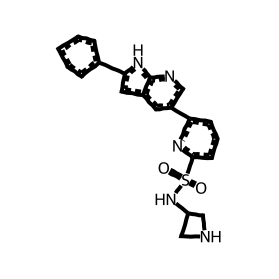 O=S(=O)(NC1CNC1)c1cccc(-c2cnc3[nH]c(-c4ccccc4)cc3c2)n1